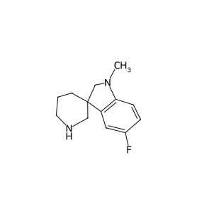 CN1CC2(CCCNC2)c2cc(F)ccc21